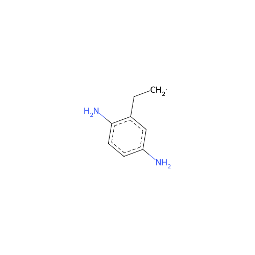 [CH2]Cc1cc(N)ccc1N